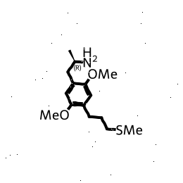 COc1cc(C[C@@H](C)N)c(OC)cc1CCCSC